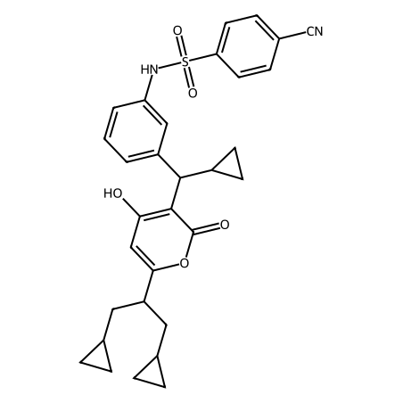 N#Cc1ccc(S(=O)(=O)Nc2cccc(C(c3c(O)cc(C(CC4CC4)CC4CC4)oc3=O)C3CC3)c2)cc1